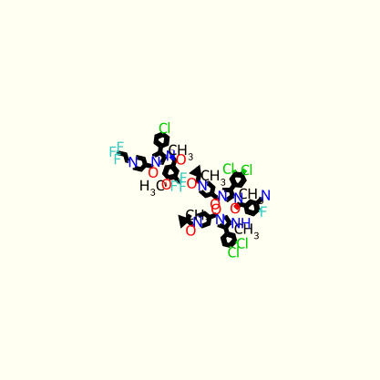 CN(C(=O)c1ccc(F)c(C#N)c1)C1CN(C(=O)C2CCN(C(=O)C3(C)CC3)CC2)CC1c1ccc(Cl)c(Cl)c1.CNC1CN(C(=O)C2CCN(C(=O)C3(C)CC3)CC2)CC1c1ccc(Cl)c(Cl)c1.COc1ccc(C(=O)N(C)C2CN(C(=O)C3CCN(CCC(F)(F)F)CC3)CC2c2ccc(Cl)cc2)cc1C(F)(F)F